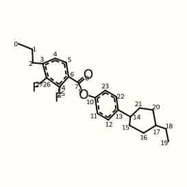 CCCc1ccc(C(=O)Oc2ccc(C3CCC(CC)CC3)cc2)c(F)c1F